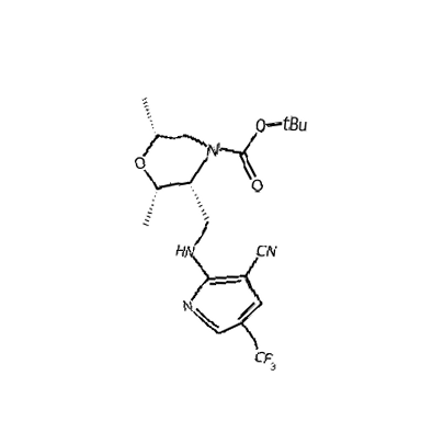 C[C@@H]1CN(C(=O)OC(C)(C)C)[C@H](CNc2ncc(C(F)(F)F)cc2C#N)[C@H](C)O1